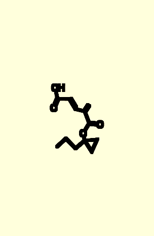 C=C(C=CC(=O)O)C(=O)OC1(CCC)CC1